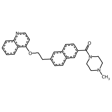 CN1CCN(C(=O)c2ccc3cc(CCOc4ccnc5ccccc45)ccc3c2)CC1